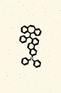 C1=Cc2ccccc2C(C(c2ccccc2)c2cccc3c2ccc2cc(N(c4ccccc4)c4ccccc4)ccc23)c2ccccc21